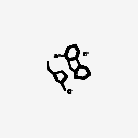 CCC1=CC(C)=CC1.[Cl-].[Cl-].[Zr+2][c]1cccc2c1Cc1ccccc1-2